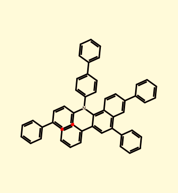 c1ccc(-c2ccc(N(c3ccc(-c4ccccc4)cc3)c3c(-c4ccccc4)cc(-c4ccccc4)c4cc(-c5ccccc5)ccc34)cc2)cc1